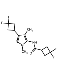 Cc1c(C2CC(F)(F)C2)nn(C)c1NC(=O)C1CC(F)(F)C1